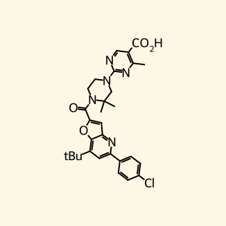 Cc1nc(N2CCN(C(=O)c3cc4nc(-c5ccc(Cl)cc5)cc(C(C)(C)C)c4o3)C(C)(C)C2)ncc1C(=O)O